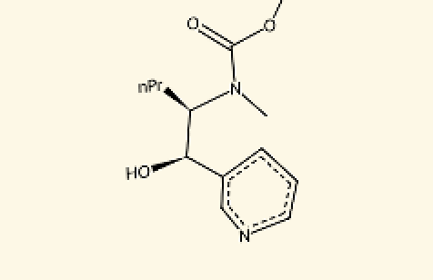 CCC[C@H]([C@H](O)c1cccnc1)N(C)C(=O)OC(C)(C)C